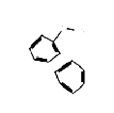 N#CNc1ccccc1.c1ccccc1